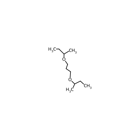 CCC(C)OCCCOC(C)CC